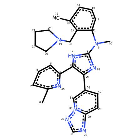 Cc1cccc(-c2[nH]c(N(C)c3cccc(C#N)c3CN3CCCC3)nc2-c2ccc3ncnn3c2)n1